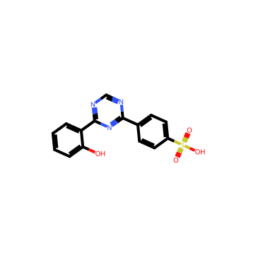 O=S(=O)(O)c1ccc(-c2ncnc(-c3ccccc3O)n2)cc1